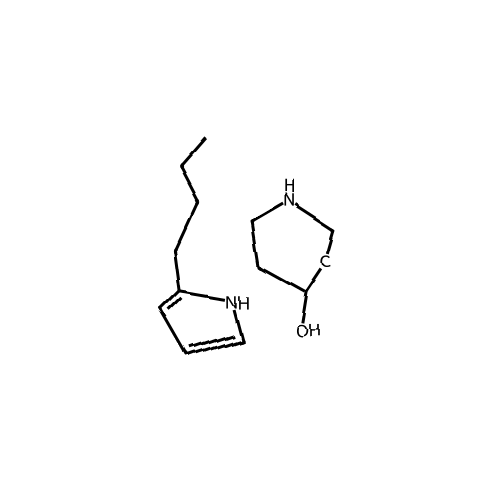 CCCCc1ccc[nH]1.OC1CCNCC1